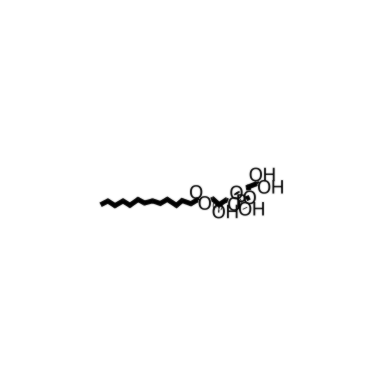 CCCCCCCCCCCCCC(=O)OC[C@@H](O)COP(=O)(O)OCC(O)O